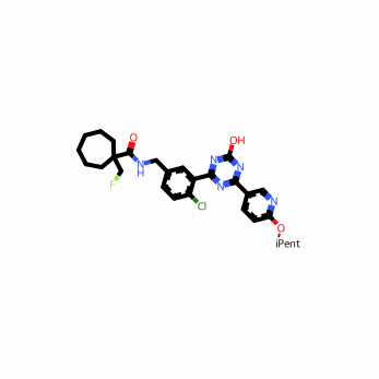 CCC[C@@H](C)Oc1ccc(-c2nc(O)nc(-c3cc(CNC(=O)C4(CF)CCCCCC4)ccc3Cl)n2)cn1